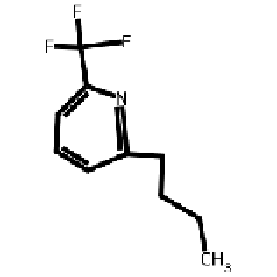 CCCCc1cccc(C(F)(F)F)n1